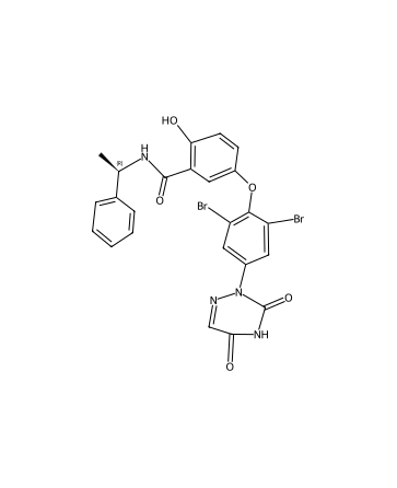 C[C@@H](NC(=O)c1cc(Oc2c(Br)cc(-n3ncc(=O)[nH]c3=O)cc2Br)ccc1O)c1ccccc1